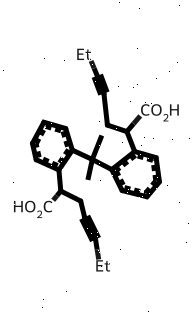 CCC#CCC(C(=O)O)c1ccccc1C(C)(C)c1ccccc1C(CC#CCC)C(=O)O